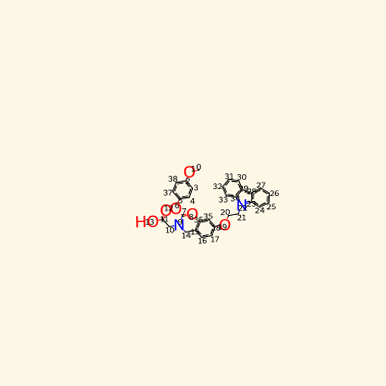 COc1ccc(OC(=O)N(CC(=O)O)Cc2ccc(OCCn3c4ccccc4c4ccccc43)cc2)cc1